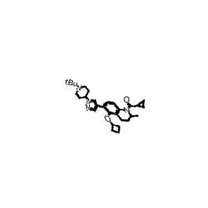 CC1CCc2c(ccc(-c3cnn(C4CCN(C(C)(C)C)CC4)c3)c2OC2CCC2)N1C(=O)C1CC1